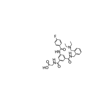 CCN(CC)Cc1ccccc1CNC(=O)c1cc(NC(=O)c2ccc(F)cc2)cc(C(=O)NCC(=O)O)c1